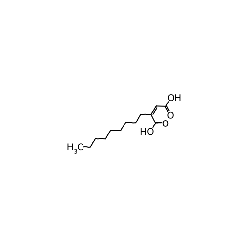 CCCCCCCCC/C(=C/C(=O)O)C(=O)O